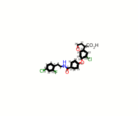 O=C(NCCc1ccc(Cl)cc1F)c1ccc(Oc2cc3c(cc2Cl)C(C(=O)O)CCO3)cc1